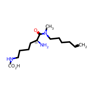 C=CCCCCN(C)C(=O)[C@@H](N)CCCCNC(=O)O